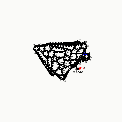 COC(=O)c1cccc(CC23c4c5c6c7c8c9c%10c%11c(c2c2c%12c3c3c%13c4c6c4c6c%13c%13c3c3c%12c%12c%14c2c%11c2c%11c%10c%10c8c8c7c4c4c6c6c%13c7c3c%12c3c(c%142)c2c%11c%10c%10c8c4c4c%10c2c3c7c64)C59N2CCCCC2)c1